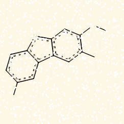 COc1cc2[nH]c3ccc(O)cc3c2cc1C